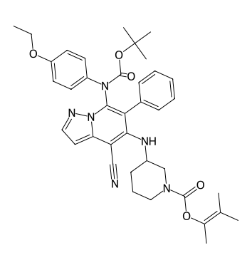 CCOc1ccc(N(C(=O)OC(C)(C)C)c2c(-c3ccccc3)c(NC3CCCN(C(=O)OC(C)=C(C)C)C3)c(C#N)c3ccnn23)cc1